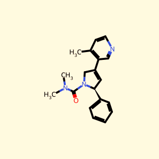 Cc1ccncc1C1=C[C@@H](c2ccccc2)N(C(=O)N(C)C)C1